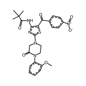 COc1ccccc1N1CCN(c2nc(NC(=O)C(C)(C)C)c(C(=O)c3ccc([N+](=O)[O-])cc3)s2)CC1=O